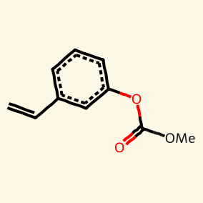 C=Cc1cccc(OC(=O)OC)c1